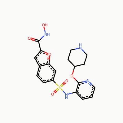 O=C(NO)c1cc2ccc(S(=O)(=O)Nc3cccnc3OC3CCNCC3)cc2o1